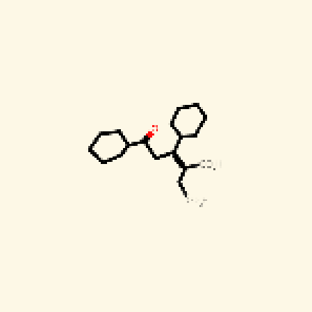 O=C(O)CC(C(=O)O)=C(CC(=O)C1CCCCC1)C1CCCCC1